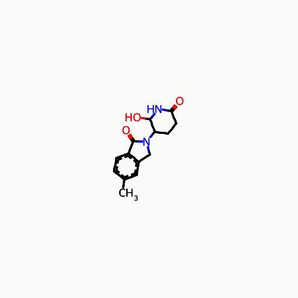 Cc1ccc2c(c1)CN(C1CCC(=O)NC1O)C2=O